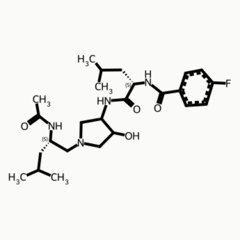 CC(=O)N[C@@H](CC(C)C)CN1CC(O)C(NC(=O)[C@H](CC(C)C)NC(=O)c2ccc(F)cc2)C1